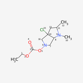 CCOC(=O)ON1CC2N(C)C(C)CC2(Cl)C1